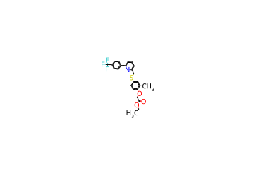 CCOC(=O)COc1ccc(SCc2cccc(-c3ccc(C(F)(F)F)cc3)n2)cc1C